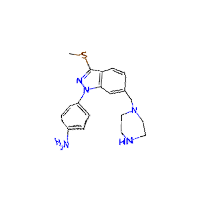 CSc1nn(-c2ccc(N)cc2)c2cc(CN3CCNCC3)ccc12